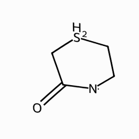 O=C1C[SH2]CC[N]1